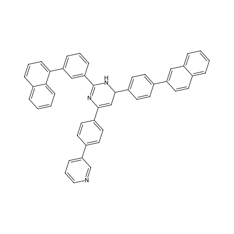 C1=C(c2ccc(-c3cccnc3)cc2)N=C(c2cccc(-c3cccc4ccccc34)c2)NC1c1ccc(-c2ccc3ccccc3c2)cc1